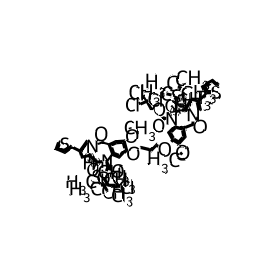 COc1cc2c(cc1OCCCOc1cc3c(cc1OC)C(=O)N1C=C(c4cccs4)C[C@H]1[C@H](O[Si](C)(C)C(C)(C)C)N3C(=O)OCC(Cl)(Cl)Cl)N(C(=O)OCC(Cl)(Cl)Cl)[C@@H](O[Si](C)(C)C(C)(C)C)[C@@H]1CC(c3cccs3)=CN1C2=O